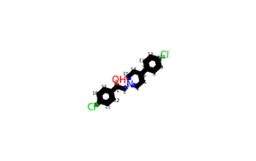 OC(CN1CC=C(c2ccc(Cl)cc2)CC1)c1ccc(Cl)cc1